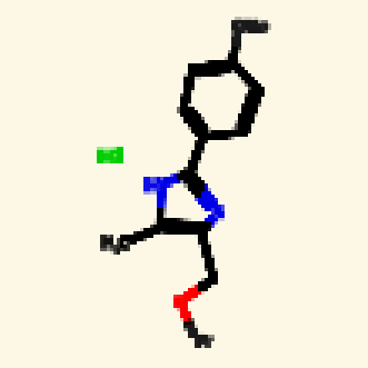 COc1ccc(-c2nc(COC(C)C)c(C)[nH]2)cc1.Cl